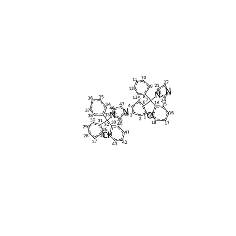 Clc1ccccc1C(c1ccccc1)(c1ccccc1)n1ccnc1.Clc1ccccc1C(c1ccccc1)(c1ccccc1)n1ccnc1